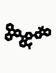 C=C(C)c1cccc2c1c1cc(-c3ccc4c(c3)C(C)(C)c3ccccc3-4)ccc1n2-c1ccc2c3ccccc3c3ccccc3c2c1